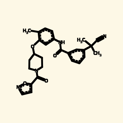 Cc1ccc(NC(=O)c2cccc(C(C)(C)C#N)c2)cc1OC1CCN(C(=O)c2ccno2)CC1